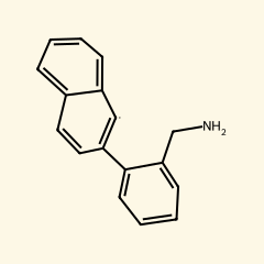 NCc1ccccc1-c1[c]c2ccccc2cc1